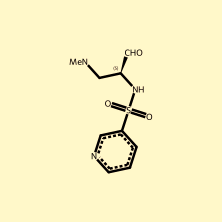 CNC[C@@H](C=O)NS(=O)(=O)c1cccnc1